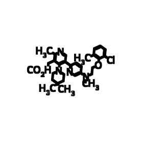 Cc1cccc(Cl)c1OCCN(C)c1ccc(-c2cnc(C)c(CC(=O)O)c2N2CCC(C)(C)CC2)nc1